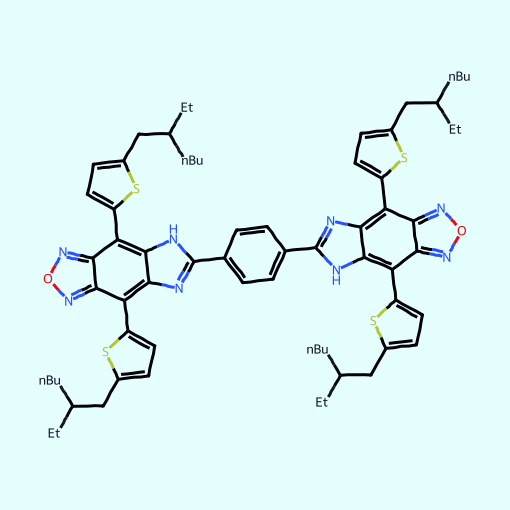 CCCCC(CC)Cc1ccc(-c2c3nonc3c(-c3ccc(CC(CC)CCCC)s3)c3[nH]c(-c4ccc(-c5nc6c(-c7ccc(CC(CC)CCCC)s7)c7nonc7c(-c7ccc(CC(CC)CCCC)s7)c6[nH]5)cc4)nc23)s1